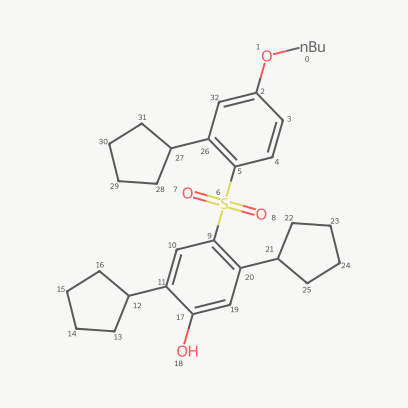 CCCCOc1ccc(S(=O)(=O)c2cc(C3CCCC3)c(O)cc2C2CCCC2)c(C2CCCC2)c1